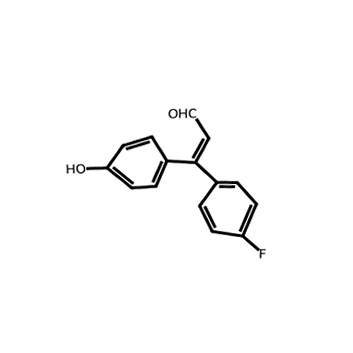 O=C/C=C(\c1ccc(O)cc1)c1ccc(F)cc1